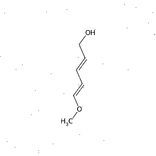 CO/C=C/C=C/CO